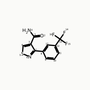 NC(=O)c1csnc1-c1cccc(C(F)(F)F)c1